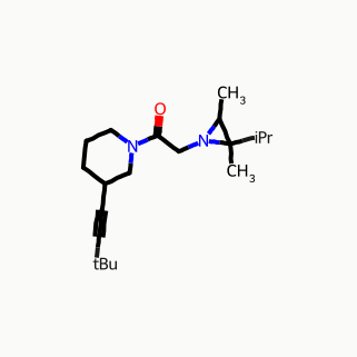 CC(C)C1(C)C(C)N1CC(=O)N1CCCC(C#CC(C)(C)C)C1